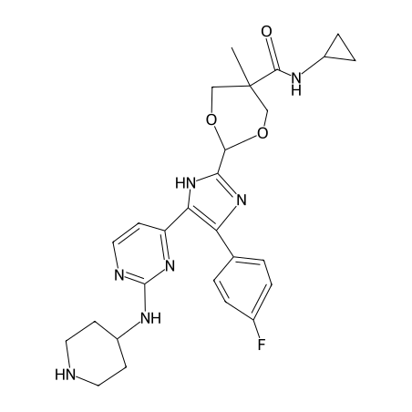 CC1(C(=O)NC2CC2)COC(c2nc(-c3ccc(F)cc3)c(-c3ccnc(NC4CCNCC4)n3)[nH]2)OC1